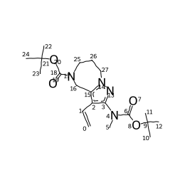 C=Cc1c(N(C)C(=O)OC(C)(C)C)nn2c1CN(C(=O)OC(C)(C)C)CCC2